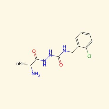 CCC[C@@H](N)C(=O)NNC(=O)NCc1ccccc1Cl